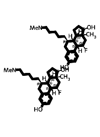 CNCCCCC[C@@H]1Cc2cc(O)ccc2[C@@H]2[C@@H]1[C@@H]1CC[C@H](O)[C@@]1(C)C[C@@H]2F.CNCCCCC[C@@H]1Cc2cc(O)ccc2[C@@H]2[C@@H]1[C@@H]1CC[C@H](O)[C@@]1(C)C[C@@H]2F